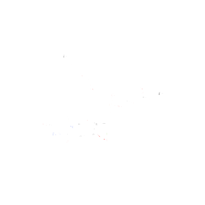 CC(C)OCOCOCOP(=O)(OCOC(=O)OC(C)C)OC[C@@]1(CF)O[C@@H](n2ccc(=O)[nH]c2=O)[C@@H](C)[C@@H]1O